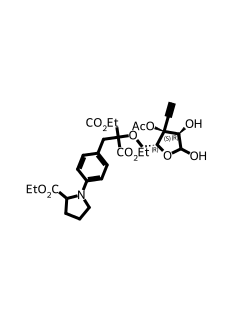 C#C[C@@]1(OC(C)=O)[C@@H](COC(Cc2ccc(N3CCCC3C(=O)OCC)cc2)(C(=O)OCC)C(=O)OCC)OC(O)[C@@H]1O